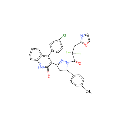 Cc1ccc(C2CC(c3c(-c4ccc(Cl)cc4)c4ccccc4[nH]c3=O)=NN2C(=O)C(F)(F)Cc2ncco2)cc1